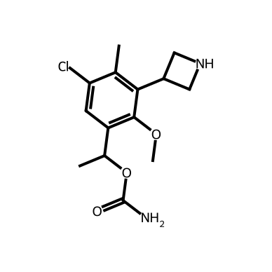 COc1c(C(C)OC(N)=O)cc(Cl)c(C)c1C1CNC1